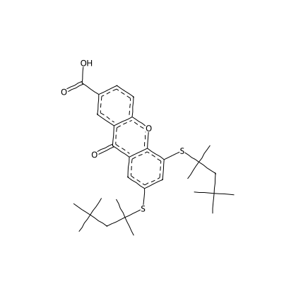 CC(C)(C)CC(C)(C)Sc1cc(SC(C)(C)CC(C)(C)C)c2oc3ccc(C(=O)O)cc3c(=O)c2c1